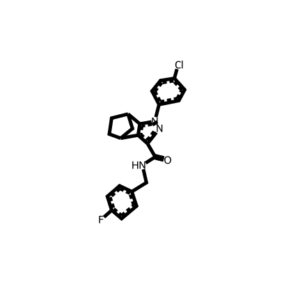 O=C(NCc1ccc(F)cc1)c1nn(-c2ccc(Cl)cc2)c2c1C1CCC2C1